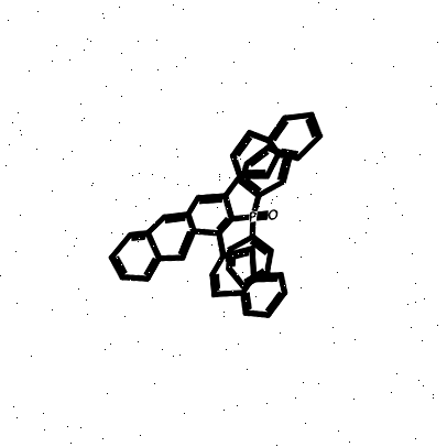 O=P(c1ccccc1)(c1ccccc1)c1c(-c2ccc3ccccc3c2)cc2cc3ccccc3cc2c1-c1ccc2ccccc2c1